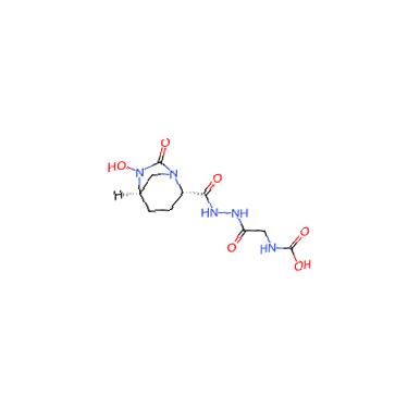 O=C(O)NCC(=O)NNC(=O)[C@@H]1CC[C@@H]2CN1C(=O)N2O